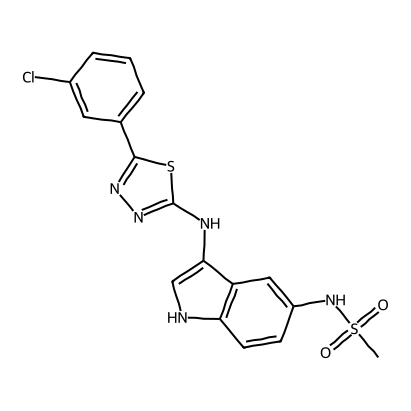 CS(=O)(=O)Nc1ccc2[nH]cc(Nc3nnc(-c4cccc(Cl)c4)s3)c2c1